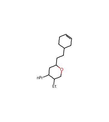 CCCC1CC(CCC2CC=CCC2)OCC1CC